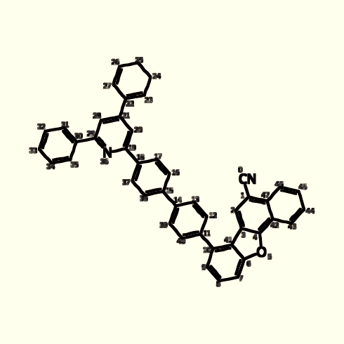 N#Cc1cc2c(oc3cccc(-c4ccc(-c5ccc(-c6cc(C7=CCCC=C7)cc(-c7ccccc7)n6)cc5)cc4)c32)c2ccccc12